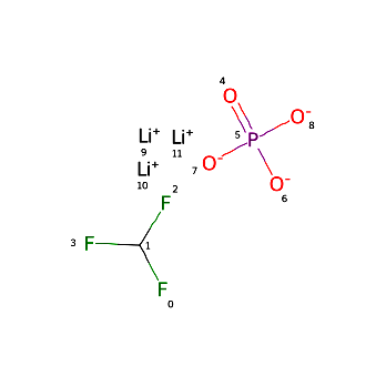 FC(F)F.O=P([O-])([O-])[O-].[Li+].[Li+].[Li+]